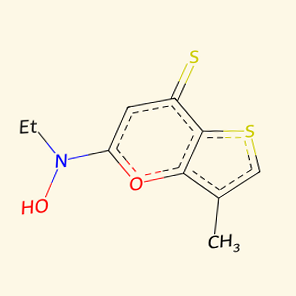 CCN(O)c1cc(=S)c2scc(C)c2o1